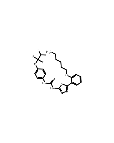 CCCCCCOc1ccccc1-c1nnc(NC(=O)Nc2ccc(OC(F)(F)C(F)F)cc2)s1